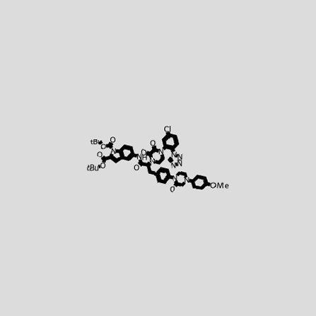 COC1CCC(N2CCN(c3ccc(CC(C(=O)Nc4ccc5c(c4)cc(C(=O)OC(C)(C)C)n5C(=O)OC(C)(C)C)N4CCN(c5cc(Cl)ccc5-n5cnnn5)C(=O)C4=O)cc3)C(=O)C2)CC1